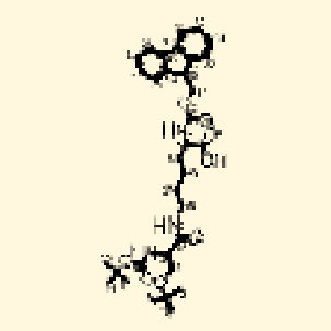 CC(C)(C)OCC(NC(=O)OC(C)(C)C)C(=O)NCCCCC(NC(=O)OCC1c2ccccc2-c2ccccc21)C(=O)O